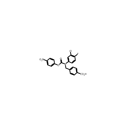 O=C(O)c1ccc(CN(C(=O)Oc2ccc([N+](=O)[O-])cc2)c2ccc(F)c(Cl)c2)cc1